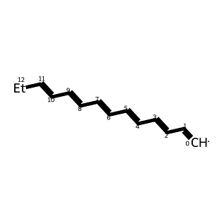 [CH]=C/C=C/C=C/C=C/C=C/C=C/CC